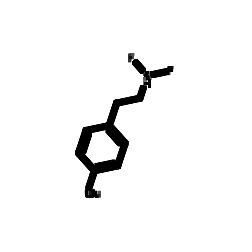 CC(C)(C)c1ccc(CC[SiH](F)F)cc1